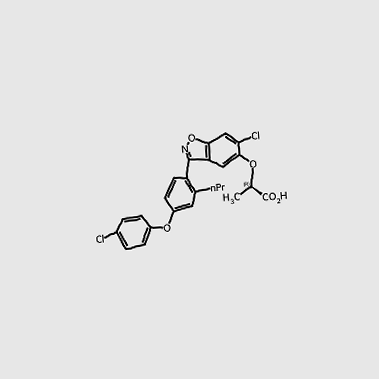 CCCc1cc(Oc2ccc(Cl)cc2)ccc1-c1noc2cc(Cl)c(O[C@H](C)C(=O)O)cc12